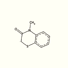 CN1C(=O)[CH]Sc2ccccc21